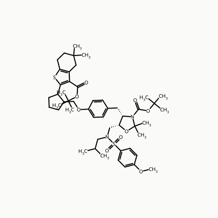 COc1ccc(S(=O)(=O)N(CC(C)C)C[C@H]2OC(C)(C)N(C(=O)OC(C)(C)C)[C@H]2Cc2ccc(OCC3CCCC3c3sc4c(c3C(=O)OC(C)(C)C)CC(C)(C)CC4)cc2)cc1